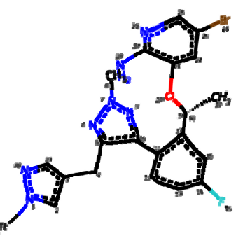 CCn1cc(Cc2nn(C)nc2-c2ccc(F)cc2[C@@H](C)Oc2cc(Br)cnc2N)cn1